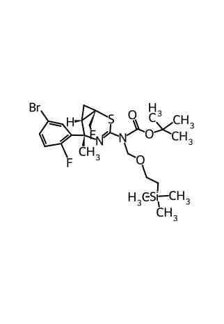 CC(C)(C)OC(=O)N(COCC[Si](C)(C)C)C1=N[C@](C)(c2cc(Br)ccc2F)[C@@H]2C[C@]2(CF)S1